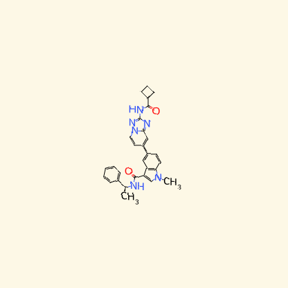 C[C@H](NC(=O)c1cn(C)c2ccc(-c3ccn4nc(NC(=O)C5CCC5)nc4c3)cc12)c1ccccc1